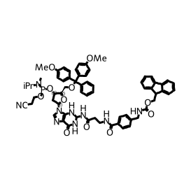 COc1ccc(C(OC[C@H]2O[C@@H](n3cnc4c3NC(NC(=O)CCNC(=O)c3ccc(CNC(=O)OCC5c6ccccc6-c6ccccc65)cc3)NC4=O)C[C@H]2OP(OCCC#N)N(C)C(C)C)(c2ccccc2)c2ccc(OC)cc2)cc1